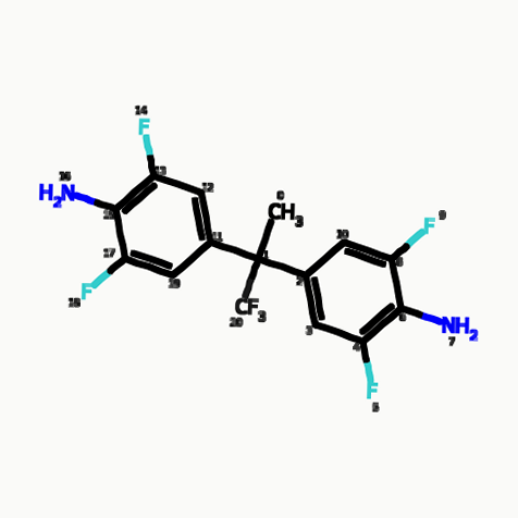 CC(c1cc(F)c(N)c(F)c1)(c1cc(F)c(N)c(F)c1)C(F)(F)F